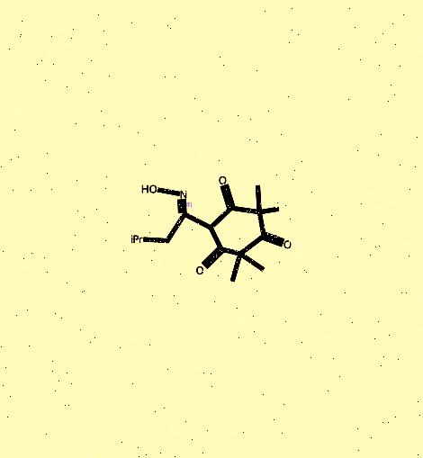 CC(C)C/C(=N\O)C1C(=O)C(C)(C)C(=O)C(C)(C)C1=O